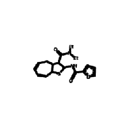 CCN(CC)C(=O)C1C(NC(=O)c2ccco2)SC2C=CC=CCC21